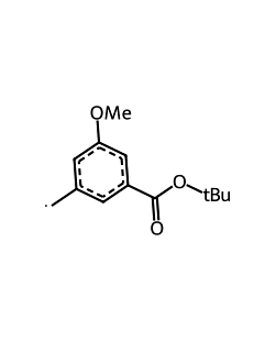 [CH2]c1cc(OC)cc(C(=O)OC(C)(C)C)c1